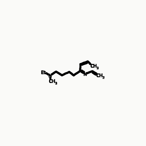 C=C/N=C(\C=C/C)CCCCN(C)CC